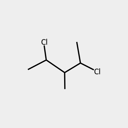 CC(Cl)C(C)C(C)Cl